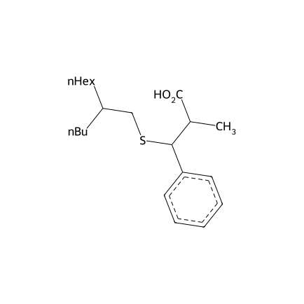 CCCCCCC(CCCC)CSC(c1ccccc1)C(C)C(=O)O